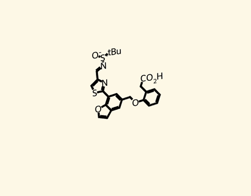 CC(C)(C)[S+]([O-])N=Cc1csc(-c2cc(COc3ccccc3CC(=O)O)cc3ccoc23)n1